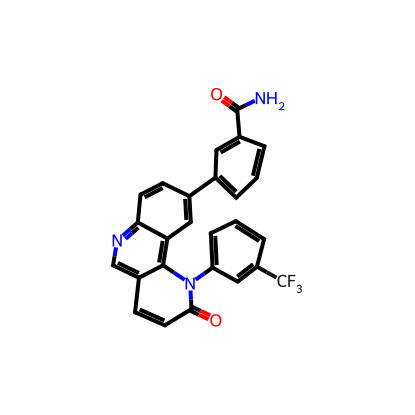 NC(=O)c1cccc(-c2ccc3ncc4ccc(=O)n(-c5cccc(C(F)(F)F)c5)c4c3c2)c1